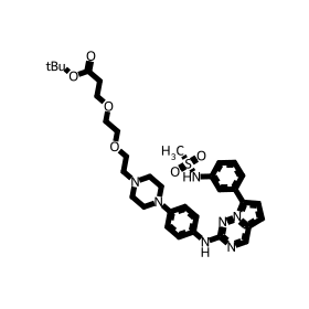 CC(C)(C)OC(=O)CCOCCOCCN1CCN(c2ccc(Nc3ncc4ccc(-c5cccc(NS(C)(=O)=O)c5)n4n3)cc2)CC1